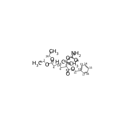 CCOC(CCCC(C(=O)OCc1ccccc1)C(C)(C)OC(N)=O)OCC